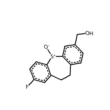 [O-][S+]1c2ccc(F)cc2CCc2ccc(CO)cc21